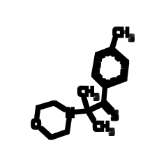 Cc1ccc(C(=S)C(C)(C)N2CCOCC2)cc1